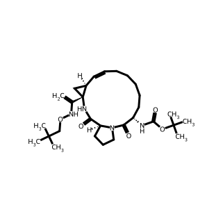 C=C(NOCC(C)(C)C)[C@@]12C[C@H]1/C=C\CCCCC[C@H](NC(=O)OC(C)(C)C)C(=O)N1CCC[C@H]1C(=O)N2